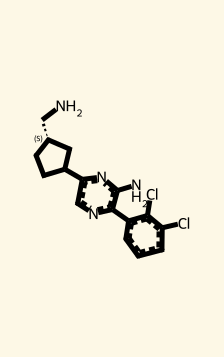 NC[C@H]1CCC(c2cnc(-c3cccc(Cl)c3Cl)c(N)n2)C1